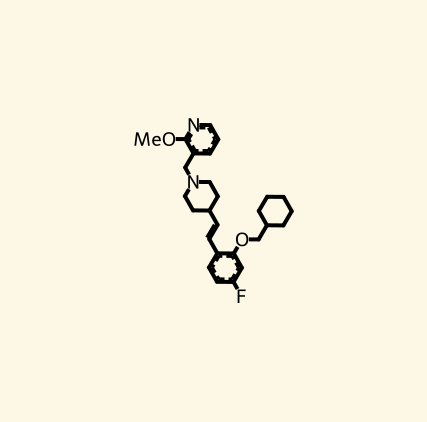 COc1ncccc1CN1CCC(C=Cc2ccc(F)cc2OCC2CCCCC2)CC1